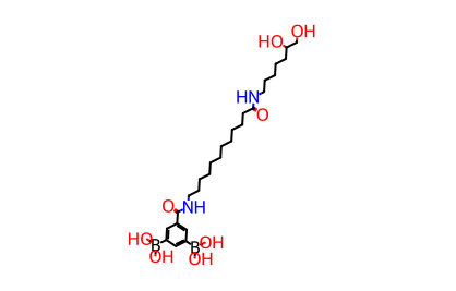 O=C(CCCCCCCCCCCNC(=O)c1cc(B(O)O)cc(B(O)O)c1)NCCCCCC(O)CO